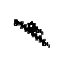 C=CC12CCCCC1O2.CCCCCCCCCCCCCCC1CO1